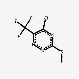 CSc1nnc(C(F)(F)F)c(Cl)n1